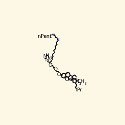 CCCCC/C=C\C/C=C\CCCCCCCCOCC(Cn1cnnc1)OCCOCCO[C@H]1CC[C@@]2(C)C(=CCC3C2CC[C@@]2(C)C3CC[C@@H]2[C@H](C)CCCC(C)C)C1